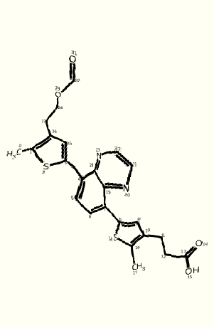 Cc1sc(-c2ccc(-c3cc(CCC(=O)O)c(C)s3)c3nccnc23)cc1CCOC=O